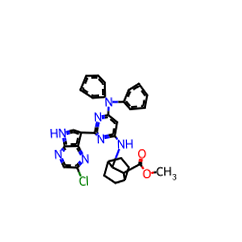 COC(=O)C1C2CCC(CC2)C1Nc1cc(N(c2ccccc2)c2ccccc2)nc(-c2c[nH]c3ncc(Cl)nc23)n1